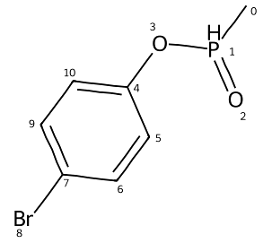 C[PH](=O)Oc1ccc(Br)cc1